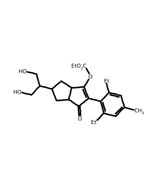 CCOC(=O)OC1=C(c2c(CC)cc(C)cc2CC)C(=O)C2CC(C(CO)CO)CC12